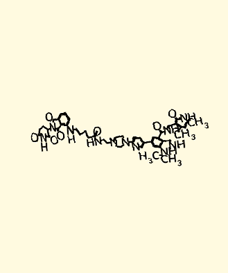 Cc1cc(C)c(CNC(=O)c2cc(-c3ccc(N4CCN(CCNC(=O)CCCCNc5cccc6c5C(=O)N(C5CCC(=O)NC5=O)C6=O)CC4)nc3)cc(NC(C)C)c2C=N)c(=O)[nH]1